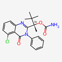 CC(C)(C)[C@](C)(OC(N)=O)c1nc2cccc(Cl)c2c(=O)n1-c1ccccc1